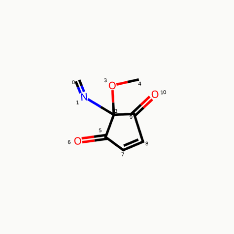 C=NC1(OC)C(=O)C=CC1=O